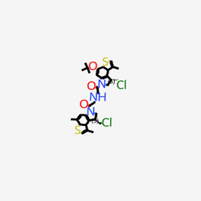 CC1=CC2=C(C3C(C)=CSC13)[C@H](CCl)CN2C(=O)CNCC(=O)N1C[C@@H](CCl)C2=C1C=C(OC(C)(C)C)C1SC=C(C)C21